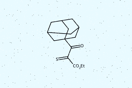 CCOC(=O)C(=S)C(=O)C12CC3CC(CC(C3)C1)C2